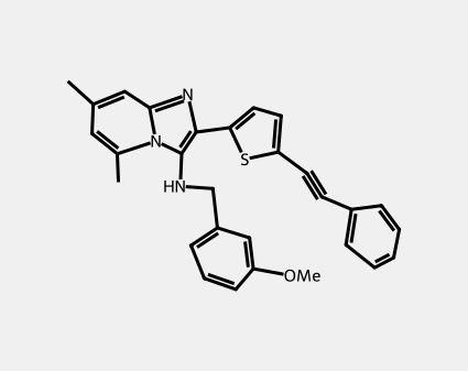 COc1cccc(CNc2c(-c3ccc(C#Cc4ccccc4)s3)nc3cc(C)cc(C)n23)c1